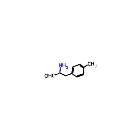 Cc1ccc(C[C@H](N)[C]=O)cc1